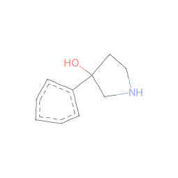 OC1(c2ccccc2)CCNC1